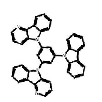 c1ccc2c(c1)c1ccccc1n2-c1cc(-n2c3ccccc3c3ncccc32)cc(-n2c3ccccc3c3ncccc32)c1